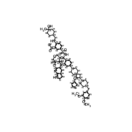 COc1cc(CN2CCN(C3CC4(CCN(c5ccc(C(=O)NS(=O)(=O)c6ccc(NCC7CCC(C)(O)CC7)c([N+](=O)[O-])c6)c(N6c7cc8cc[nH]c8nc7O[C@H]7COCC[C@@H]76)c5)CC4)C3)[C@@H](c3sccc3C)C2)cnc1OC